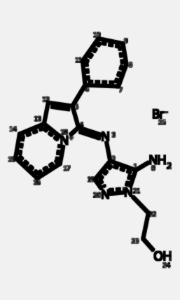 Nc1c(/N=C2/C(c3ccccc3)=Cc3cccc[n+]32)cnn1CCO.[Br-]